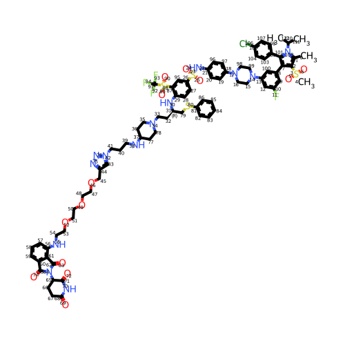 Cc1c(S(C)(=O)=O)c(-c2cc(F)cc(N3CCN(c4ccc(NS(=O)(=O)c5ccc(N[C@H](CCN6CCC(NCCCn7cc(COCCOCCOCCNc8cccc9c8C(=O)N(C8CCC(=O)NC8=O)C9=O)nn7)CC6)CSc6ccccc6)c(S(=O)(=O)C(F)(F)F)c5)cc4)CC3)c2)c(-c2ccc(Cl)cc2)n1C(C)C